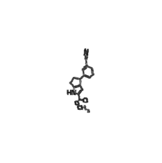 COC(=O)c1cc2c([nH]1)CCC2c1cccc(C#N)c1